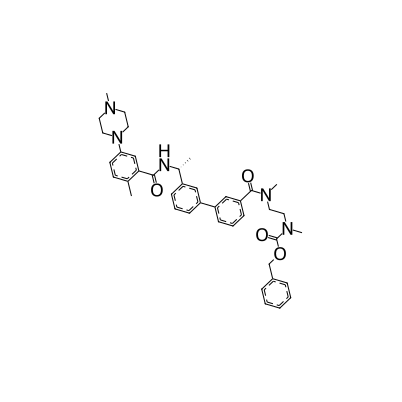 Cc1ccc(N2CCN(C)CC2)cc1C(=O)N[C@H](C)c1cccc(-c2cccc(C(=O)N(C)CCN(C)C(=O)OCc3ccccc3)c2)c1